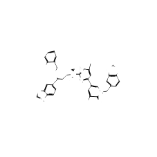 Cc1cc(-c2cc(F)c(=O)n(Cc3ccc4c(c3)OCO4)c2)nc(S(=O)(=O)CCC(OCc2ccccc2F)c2ccc3ncoc3c2)n1